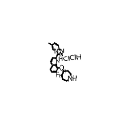 Cc1ccc2nnc(-c3ccc4cccc(O[C@H]5CCNCC[C@@H]5F)c4n3)n2c1.Cl.Cl